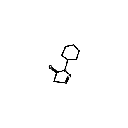 O=C1CC=NN1C1CCCCC1